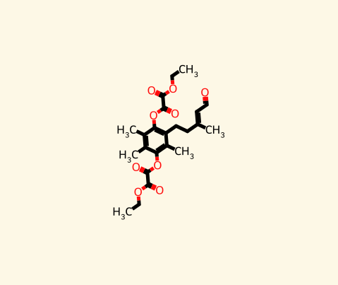 CCOC(=O)C(=O)Oc1c(C)c(C)c(OC(=O)C(=O)OCC)c(CCC(C)=CC=O)c1C